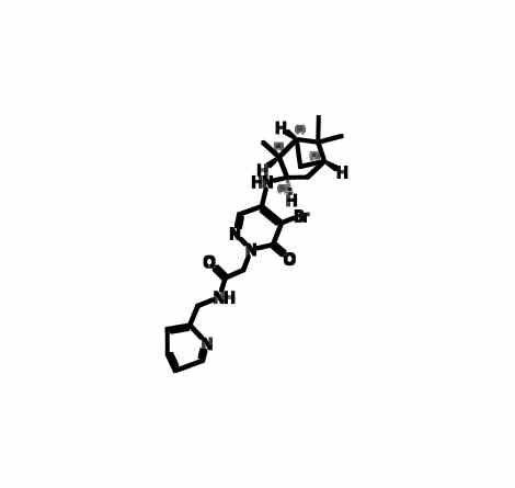 C[C@@H]1[C@H]2C[C@@H](C[C@H]1Nc1cnn(CC(=O)NCc3ccccn3)c(=O)c1Br)C2(C)C